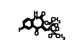 CS(=O)(=O)N(C=C1CC(=O)Nc2ccc(F)cc2C1=O)S(C)(=O)=O